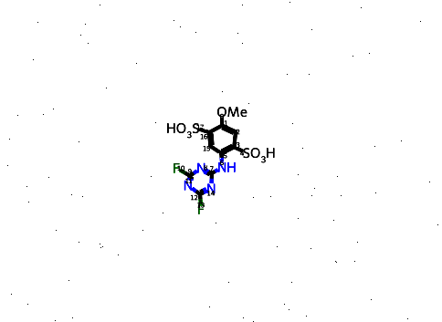 COc1cc(S(=O)(=O)O)c(Nc2nc(F)nc(F)n2)cc1S(=O)(=O)O